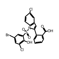 O=C(O)c1ccccc1-c1cc2cc(Cl)ccc2n1S(=O)(=O)c1cc(Br)cc(Cl)c1O